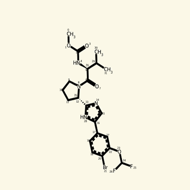 COC(=O)N[C@H](C(=O)N1CCC[C@H]1c1ncc(-c2ccc(Br)c(OC(F)F)c2)[nH]1)C(C)C